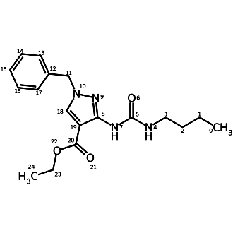 CCCCNC(=O)Nc1nn(Cc2ccccc2)cc1C(=O)OCC